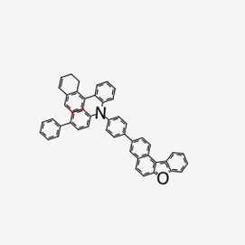 C1=Cc2cccc(-c3ccccc3N(c3ccc(-c4ccccc4)cc3)c3ccc(-c4ccc5c(ccc6oc7ccccc7c65)c4)cc3)c2CC1